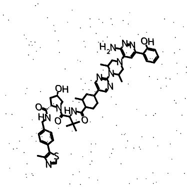 Cc1ncsc1-c1ccc(CNC(=O)[C@@H]2C[C@@H](O)CN2C(=O)[C@@H](NC(=O)C2CCC(c3cnc(N4C(C)CN(c5cc(-c6ccccc6O)nnc5N)CC4C)nc3)CC2C)C(C)(C)C)cc1